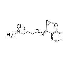 CN(C)CCCON=C1c2ccccc2OC2CC12